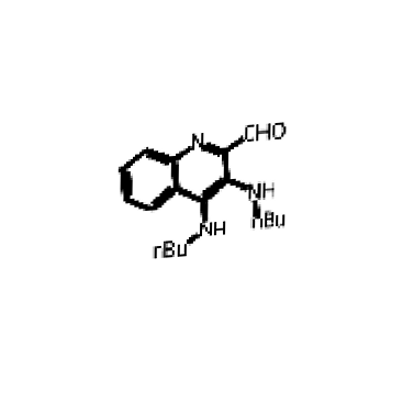 CCCCNc1c(C=O)nc2ccccc2c1NCCCC